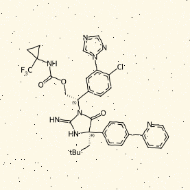 CC(C)(C)C[C@]1(c2ccc(-c3ccccn3)cc2)NC(=N)N([C@H](COC(=O)NC2(C(F)(F)F)CC2)c2ccc(Cl)c(-n3cncn3)c2)C1=O